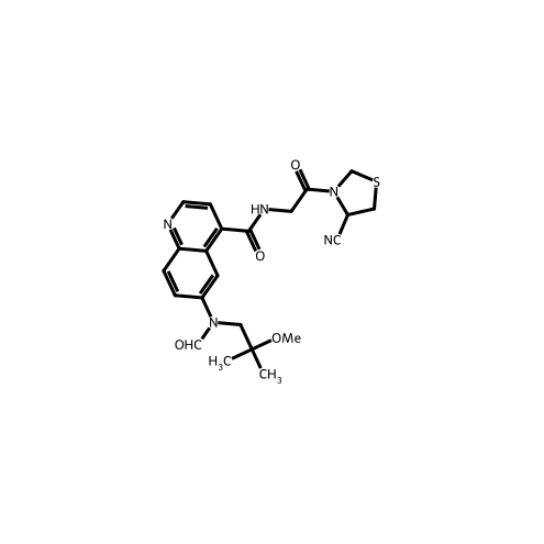 COC(C)(C)CN(C=O)c1ccc2nccc(C(=O)NCC(=O)N3CSCC3C#N)c2c1